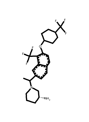 CC(c1ccc2ccc(OC3CCC(C(F)(F)F)CC3)c(C(F)(F)F)c2c1)N1CCC[C@@H](N)C1